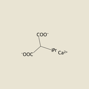 CC(C)C(C(=O)[O-])C(=O)[O-].[Ca+2]